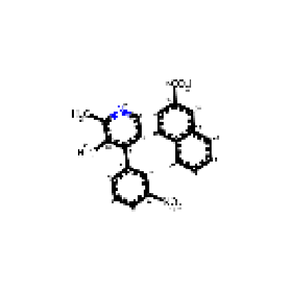 Cc1nccc(-c2cccc([N+](=O)[O-])c2)c1C.O=C(O)c1ccc2ccccc2c1